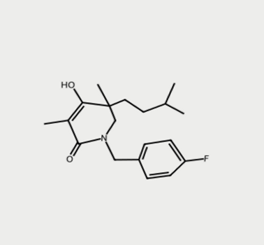 CC1=C(O)C(C)(CCC(C)C)CN(Cc2ccc(F)cc2)C1=O